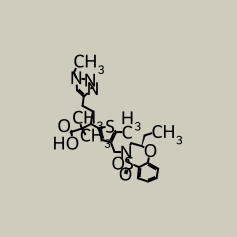 CC[C@@H]1CN(Cc2cc(C(CCc3cn(CC)nn3)C(C)(C)C(=O)O)sc2C)S(=O)(=O)c2ccccc2O1